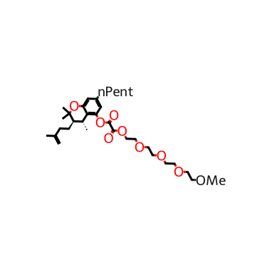 C=C(C)CC[C@@H]1[C@@H](C)c2c(OC(=O)C(=O)OCCOCCOCCOCCOC)cc(CCCCC)cc2OC1(C)C